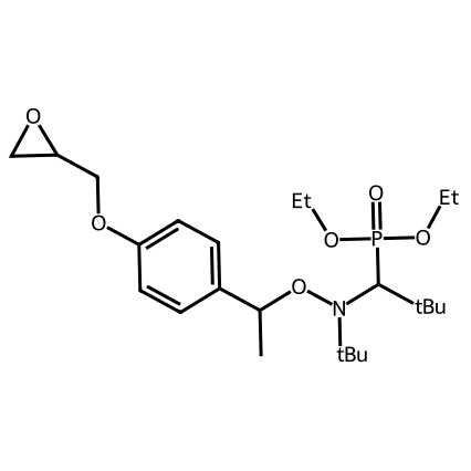 CCOP(=O)(OCC)C(N(OC(C)c1ccc(OCC2CO2)cc1)C(C)(C)C)C(C)(C)C